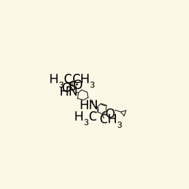 Cc1c(NC[C@H]2CC[C@H](NS(=O)(=O)C(C)C)CC2)ccc(OCC2CC2)c1C